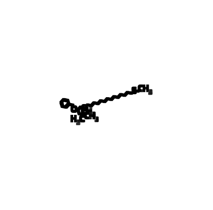 CCSCCCCCCCCCCCCCCOCC(CC(C)(C)C)OCc1ccccc1